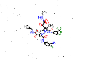 C#CCNC(=O)C(=O)c1cc(C(=O)Nc2ccc(F)c(C#N)c2)n(Cn2c(C)c(C(=O)C(=O)NCC=C)c(C)c2C(=O)Nc2ccc(F)c(C(F)(F)F)c2)c1